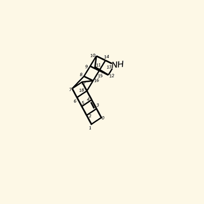 C1CC2C1=C1C2C2C3C4C5C6CC7NC6C75C45C3C125